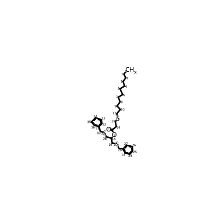 CCCCCCCCCCCCSCCC(=O)OC(CSCc1ccccc1)CSCc1ccccc1